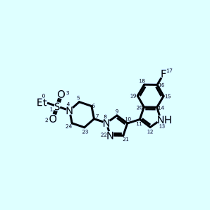 CCS(=O)(=O)N1CCC(n2cc(-c3c[nH]c4cc(F)ccc34)cn2)CC1